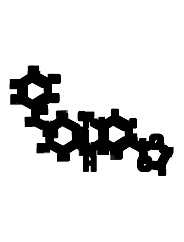 Fc1ccc(C2OCCO2)cc1NC1CCN(Cc2ccccc2)CC1